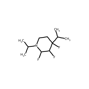 CC(C)N1CCC(F)(C(C)C)C(F)C1F